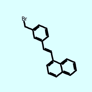 BrCc1cccc(C=Cc2cccc3ccccc23)c1